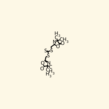 CC1(C)N=C(CSC(=S)SCC2=NC(C)(C)C(=O)O2)OC1=O